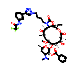 CC[C@H]1OC(=O)[C@H](C)[C@@H](O)[C@H](C)[C@@H](O[C@@H]2O[C@H](C)C[C@H](N(C)C)[C@H]2OC(=O)c2ccccc2)[C@@](C)(OC)C[C@@H](C)C(=O)[C@H](C)C2N(CCCCn3cc(-c4cccc(NC(=O)C(F)(F)F)c4)nn3)C(=O)O[C@@]21C